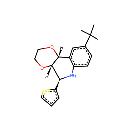 CC(C)(C)c1ccc2c(c1)[C@H]1OCCO[C@H]1[C@H](c1cccs1)N2